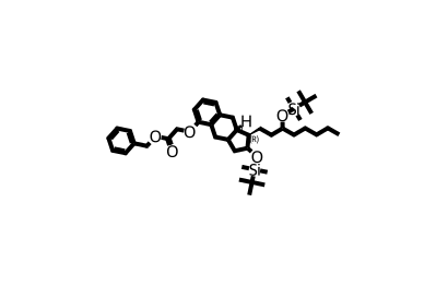 CCCCCC(CC[C@H]1C(O[Si](C)(C)C(C)(C)C)CC2Cc3c(cccc3OCC(=O)OCc3ccccc3)C[C@@H]21)O[Si](C)(C)C(C)(C)C